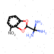 NC(N)(N)C1Oc2cccc([N+](=O)[O-])c2O1